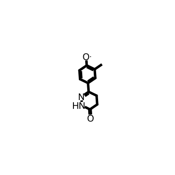 Cc1cc(C2=NNC(=O)CC2)ccc1[O]